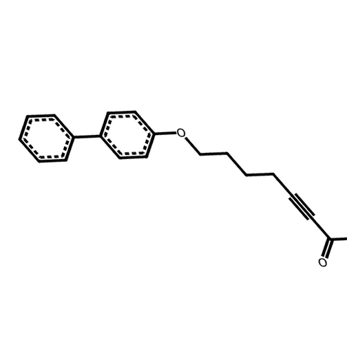 O=C(C#CCCCCOc1ccc(-c2ccccc2)cc1)C(F)(F)F